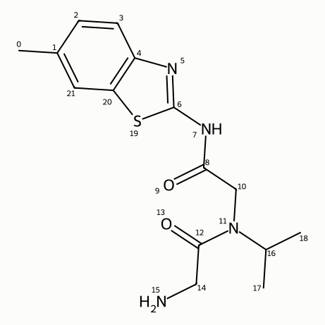 Cc1ccc2nc(NC(=O)CN(C(=O)CN)C(C)C)sc2c1